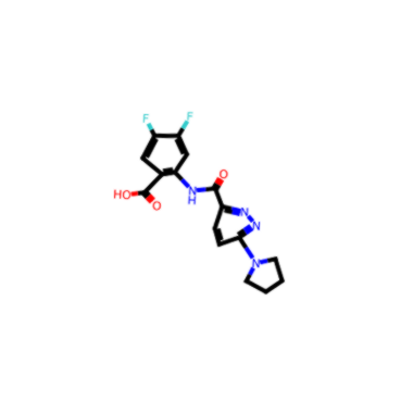 O=C(Nc1cc(F)c(F)cc1C(=O)O)c1ccc(N2CCCC2)nn1